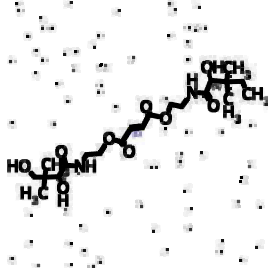 CCC(C)(C)[C@H](O)C(=O)NCCOC(=O)/C=C/C(=O)OCCNC(=O)[C@@H](O)C(C)(C)CO